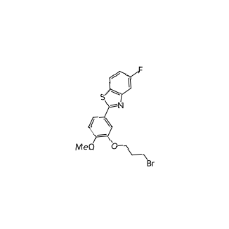 COc1ccc(-c2nc3cc(F)ccc3s2)cc1OCCCBr